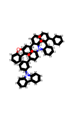 c1ccc(-c2ccccc2-c2ccccc2N(c2ccc(-c3cccc(-n4c5ccccc5c5ccccc54)c3)cc2)c2ccccc2-c2ccc3c(c2)oc2ccccc23)cc1